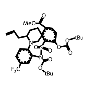 C=CCC1CCCCN1c1ccc(C(F)(F)F)cc1N(C(=O)OC(C)(C)C)S(=O)(=O)c1cc(C(=O)OC)ccc1OC(=O)OC(C)(C)C